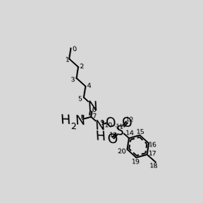 CCCCCCN=C(N)NOS(=O)(=O)c1ccc(C)cc1